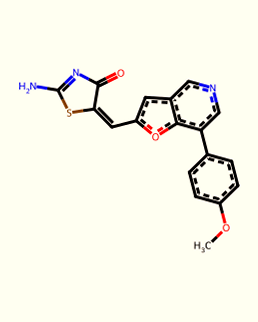 COc1ccc(-c2cncc3cc(C=C4SC(N)=NC4=O)oc23)cc1